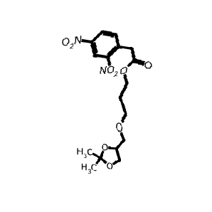 CC1(C)OCC(COCCCOC(=O)Cc2ccc([N+](=O)[O-])cc2[N+](=O)[O-])O1